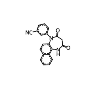 N#Cc1cccc(N2C(=O)CC(=O)Nc3c2ccc2ccccc32)c1